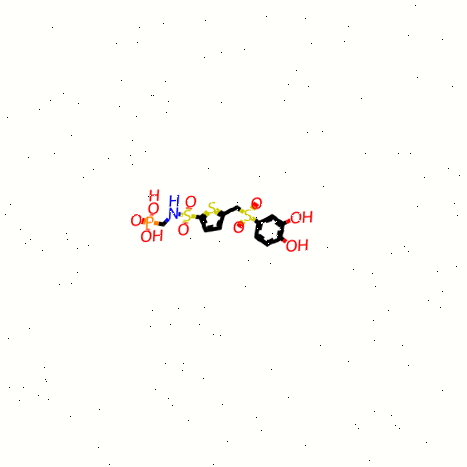 O=P(O)(O)CNS(=O)(=O)c1ccc(CS(=O)(=O)c2ccc(O)c(O)c2)s1